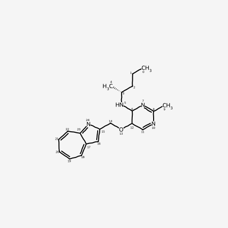 CCC[C@@H](C)NC1N=C(C)N=CC1OCc1cc2cccccc-2n1